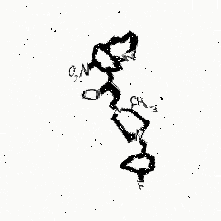 C[C@@H]1CN(Cc2ccc(F)cc2)CCN1/C=C/C(=O)c1cc2ncccc2cc1[N+](=O)[O-]